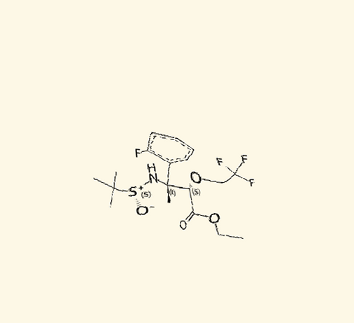 CCOC(=O)[C@@H](OCC(F)(F)F)[C@](C)(N[S@+]([O-])C(C)(C)C)c1ccccc1F